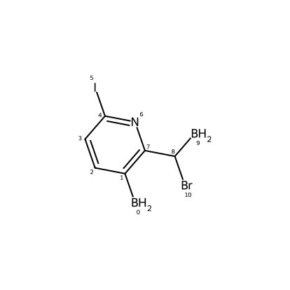 Bc1ccc(I)nc1C(B)Br